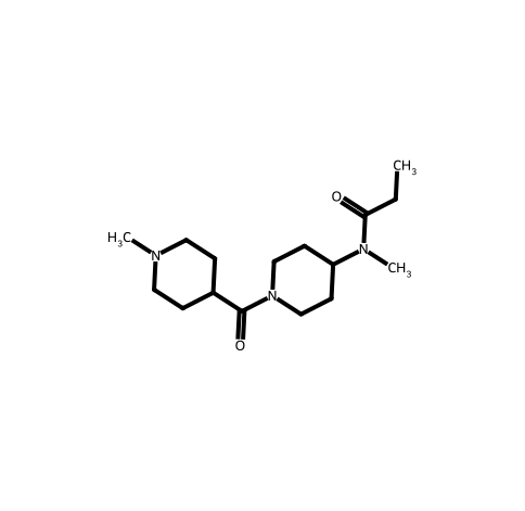 CCC(=O)N(C)C1CCN(C(=O)C2CCN(C)CC2)CC1